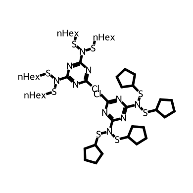 CCCCCCSN(SCCCCCC)c1nc(Cl)nc(N(SCCCCCC)SCCCCCC)n1.Clc1nc(N(SC2CCCC2)SC2CCCC2)nc(N(SC2CCCC2)SC2CCCC2)n1